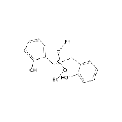 CCO[Si](Cc1ccccc1O)(Cc1ccccc1O)OCC